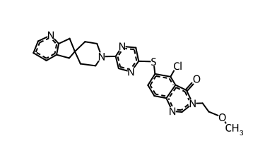 COCCn1cnc2ccc(Sc3cnc(N4CCC5(CC4)Cc4cccnc4C5)cn3)c(Cl)c2c1=O